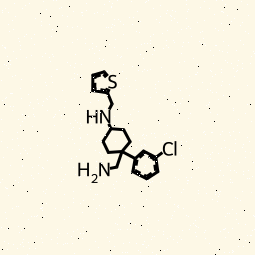 NCC1(c2cccc(Cl)c2)CCC(NCc2cccs2)CC1